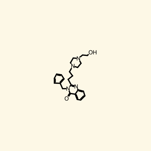 O=c1c2ccccc2nc(CCCN2CCN(CCO)CC2)n1Cc1ccccc1